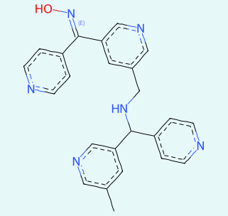 Cc1cncc(C(NCc2cncc(/C(=N/O)c3ccncc3)c2)c2ccncc2)c1